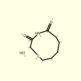 Cl.O=C1CCCCCCCC(=O)N1